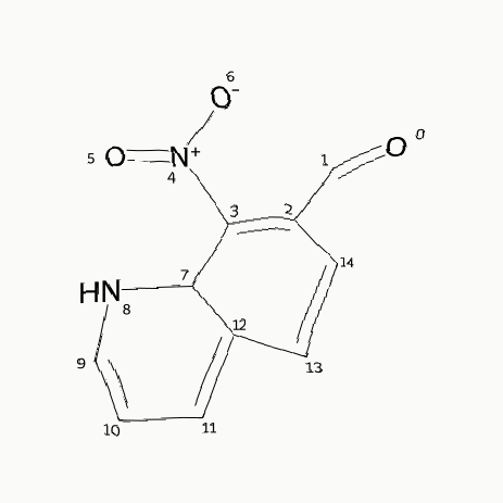 O=CC1=C([N+](=O)[O-])C2NC=CC=C2C=C1